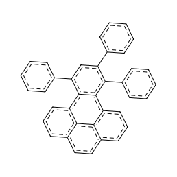 c1ccc(-c2cc(-c3ccccc3)c3c4cccc5ccc6cccc(c3c2-c2ccccc2)c6c54)cc1